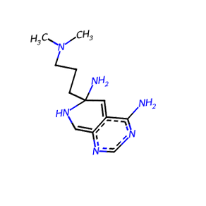 CN(C)CCCC1(N)C=c2c(N)ncnc2=CN1